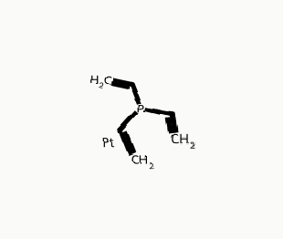 C=CP(C=C)C=C.[Pt]